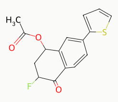 CC(=O)OC1CC(F)C(=O)c2ccc(-c3cccs3)cc21